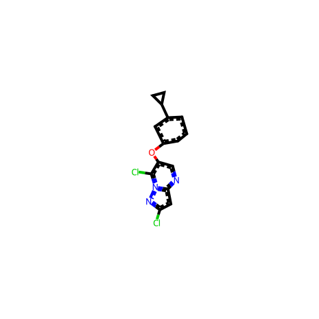 Clc1cc2ncc(Oc3cccc(C4CC4)c3)c(Cl)n2n1